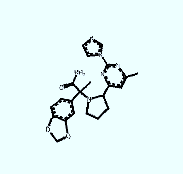 Cc1cc(C2CCCN2C(C)(C(N)=O)c2ccc3c(c2)OCO3)nc(-n2ccnc2)n1